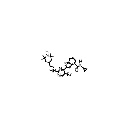 CC1(C)CC(CCNc2ncc(Br)c(-c3cc4c(C(=O)NC5CC5)cccc4s3)n2)CC(C)(C)N1